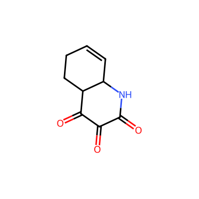 O=C1NC2C=CCCC2C(=O)C1=O